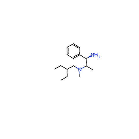 CCC(CC)CN(C)C(C)[C@H](N)c1ccccc1